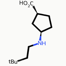 CC(C)(C)CCN[C@@H]1CC[C@H](C(=O)O)C1